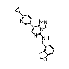 c1cc(CNc2ncc(-c3ccc(C4CC4)nc3)c3nncn23)c2c(c1)OCC2